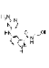 Nc1nccc(Nc2ccc3[nH]nc(C(=O)NCCO)c3c2)n1